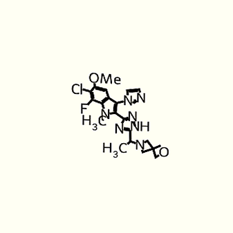 COc1cc2c(-n3ccnc3)c(-c3n[nH]c(C(C)N4CC5(COC5)C4)n3)n(C)c2c(F)c1Cl